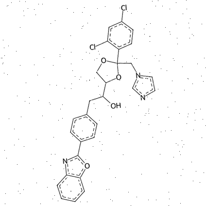 OC(Cc1ccc(-c2nc3ccccc3o2)cc1)C1COC(Cn2ccnc2)(c2ccc(Cl)cc2Cl)O1